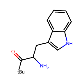 CC(C)(C)C(=O)C(N)Cc1c[nH]c2ccccc12